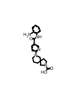 Nc1ccccc1NC(=O)c1ccc(N2CCCC3(CCN(C(=O)O)C3)C2)nc1